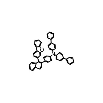 c1ccc(-c2ccc(N(c3ccc(-c4ccccc4)cc3)c3ccc(-c4ccc5ccccc5c4-c4ccc5c(c4)oc4ccccc45)cc3)cc2)cc1